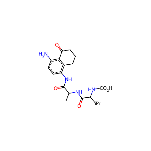 CC(NC(=O)C(NC(=O)O)C(C)C)C(=O)Nc1ccc(N)c2c1CCCC2=O